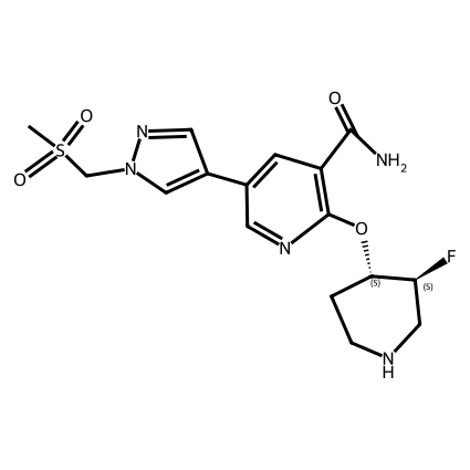 CS(=O)(=O)Cn1cc(-c2cnc(O[C@H]3CCNC[C@@H]3F)c(C(N)=O)c2)cn1